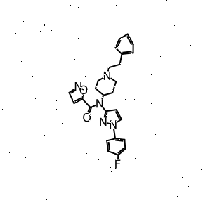 O=C(c1ccno1)N(c1ccn(-c2ccc(F)cc2)n1)C1CCN(CCc2ccccc2)CC1